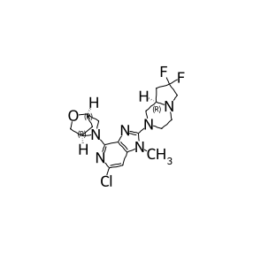 Cn1c(N2CCN3CC(F)(F)C[C@@H]3C2)nc2c(N3C[C@H]4C[C@@H]3CO4)nc(Cl)cc21